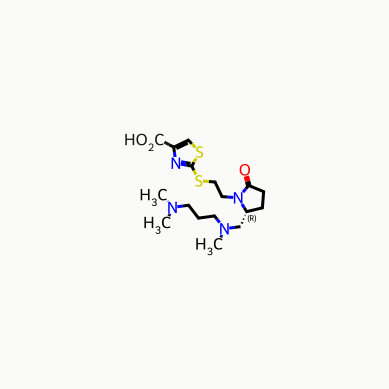 CN(C)CCCN(C)C[C@H]1CCC(=O)N1CCSc1nc(C(=O)O)cs1